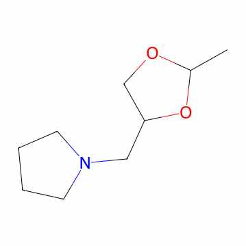 CC1OCC(CN2CCCC2)O1